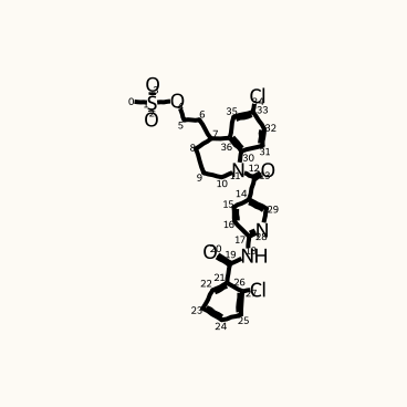 CS(=O)(=O)OCCC1CCCN(C(=O)c2ccc(NC(=O)c3ccccc3Cl)nc2)c2ccc(Cl)cc21